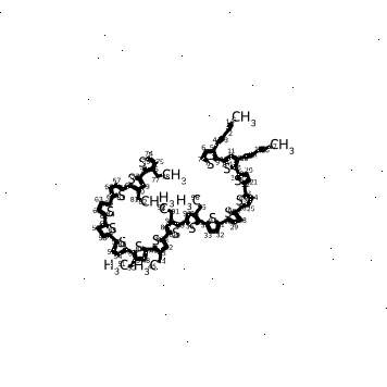 CC#CC#Cc1ccsc1-c1cc(C#CC#CC)c(-c2ccc(-c3ccc(-c4ccc(-c5ccc(-c6sc(-c7sc(-c8cc(CC)c(-c9cc(CC)c(-c%10ccc(-c%11ccc(-c%12ccc(-c%13ccc(-c%14sc(-c%15sccc%15CC)cc%14CC)s%13)s%12)s%11)s%10)s9)s8)cc7CC)cc6CC)s5)s4)s3)s2)s1